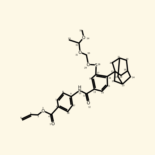 C=CCOC(=O)c1ccc(NC(=O)c2ccc(C34CC5CC(CC(C5)C3)C4)c(SOCOC(C)OC)c2)cc1